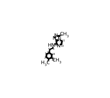 Cc1ccc(CCNc2nccn3c(C)nnc23)cc1C